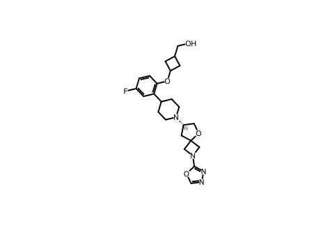 OCC1CC(Oc2ccc(F)cc2C2CCN([C@@H]3COC4(C3)CN(c3nnco3)C4)CC2)C1